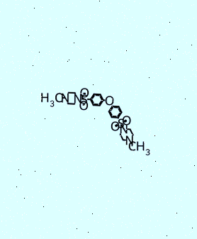 CN1CCN(S(=O)(=O)c2ccc(Oc3ccc(S(=O)(=O)N4CCN(C)CC4)cc3)cc2)CC1